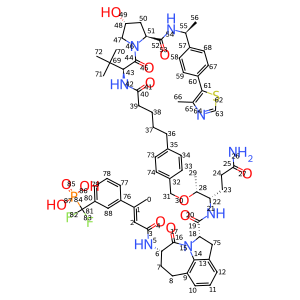 C/C(=C\C(=O)N[C@H]1CCc2cccc3c2N(C1=O)[C@H](C(=O)N[C@@H](CCC(N)=O)[C@@H](C)OCc1ccc(CCCCC(=O)N[C@H](C(=O)N2C[C@H](O)C[C@H]2C(=O)N[C@@H](C)c2ccc(-c4scnc4C)cc2)C(C)(C)C)cc1)C3)c1cccc(C(F)(F)P(=O)(O)O)c1